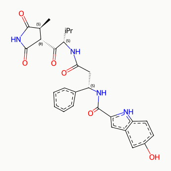 CC(C)[C@H](NC(=O)C[C@H](NC(=O)c1cc2cc(O)ccc2[nH]1)c1ccccc1)C(=O)[C@@H]1C(=O)NC(=O)[C@H]1C